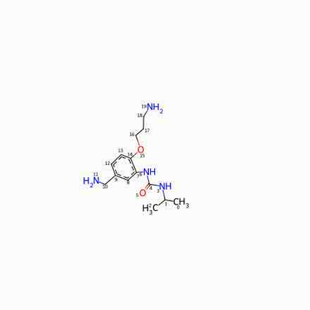 CC(C)NC(=O)Nc1cc(CN)ccc1OCCCN